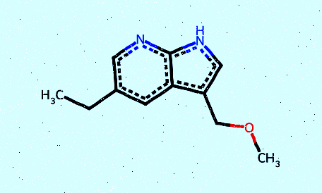 CCc1cnc2[nH]cc(COC)c2c1